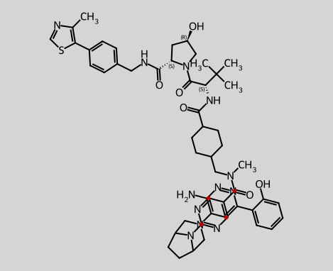 Cc1ncsc1-c1ccc(CNC(=O)[C@@H]2C[C@@H](O)CN2C(=O)[C@@H](NC(=O)C2CCC(CN(C)C(=O)c3cnc(N4C5CCC4CN(c4cc(-c6ccccc6O)nnc4N)C5)nc3)CC2)C(C)(C)C)cc1